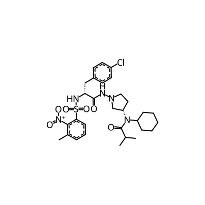 Cc1cccc(S(=O)(=O)N[C@H](Cc2ccc(Cl)cc2)C(=O)NN2CC[C@H](N(C(=O)C(C)C)C3CCCCC3)C2)c1[N+](=O)[O-]